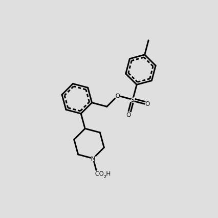 Cc1ccc(S(=O)(=O)OCc2ccccc2C2CCN(C(=O)O)CC2)cc1